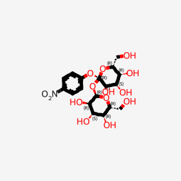 O=[N+]([O-])c1ccc(O[C@]2(O[C@H]3O[C@H](CO)[C@H](O)[C@H](O)[C@H]3O)O[C@H](CO)[C@H](O)[C@H](O)[C@H]2O)cc1